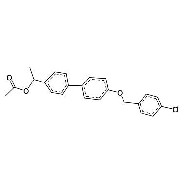 CC(=O)OC(C)c1ccc(-c2ccc(OCc3ccc(Cl)cc3)cc2)cc1